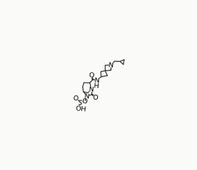 O=C(NC1CC2(C1)CN(CC1CC1)C2)C1CCC2CN1C(=O)N2OS(=O)O